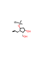 C=CC[C@@H]1[C@@H](CO)[C@H](O)C[C@@H]1O[Si](C)(C)C(C)(C)C